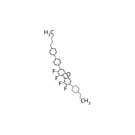 CCCCCc1ccc(-c2ccc(-c3cc4oc5cc(C6CCC(CCC)CC6)c(F)c(F)c5c4c(F)c3F)cc2)cc1